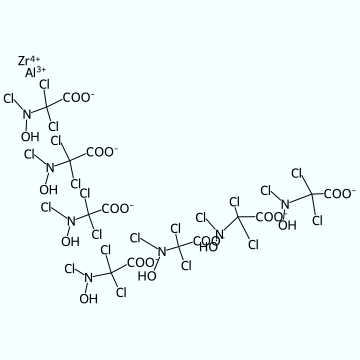 O=C([O-])C(Cl)(Cl)N(O)Cl.O=C([O-])C(Cl)(Cl)N(O)Cl.O=C([O-])C(Cl)(Cl)N(O)Cl.O=C([O-])C(Cl)(Cl)N(O)Cl.O=C([O-])C(Cl)(Cl)N(O)Cl.O=C([O-])C(Cl)(Cl)N(O)Cl.O=C([O-])C(Cl)(Cl)N(O)Cl.[Al+3].[Zr+4]